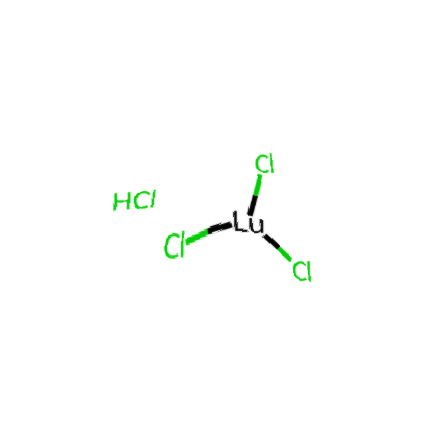 Cl.[Cl][Lu]([Cl])[Cl]